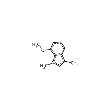 COc1cccc2c(C)cn(C)c12